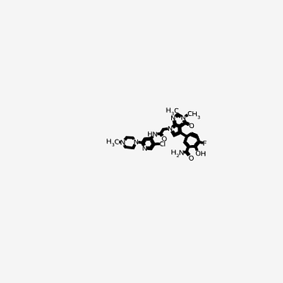 Cc1nc2c(c(C3C#CC(F)=C(O)C(C(N)=O)=C3)cn2CC(=O)Nc2cc(N3CCN(C)CC3)ncc2Cl)c(=O)n1C